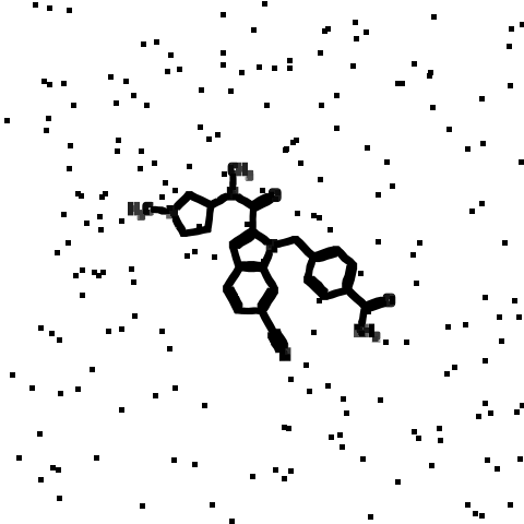 CN1CCC(N(C)C(=O)c2cc3ccc(C#N)cc3n2Cc2ccc(C(N)=O)cc2)C1